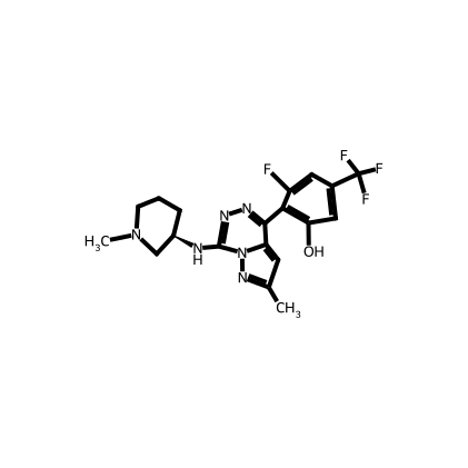 Cc1cc2c(-c3c(O)cc(C(F)(F)F)cc3F)nnc(N[C@@H]3CCCN(C)C3)n2n1